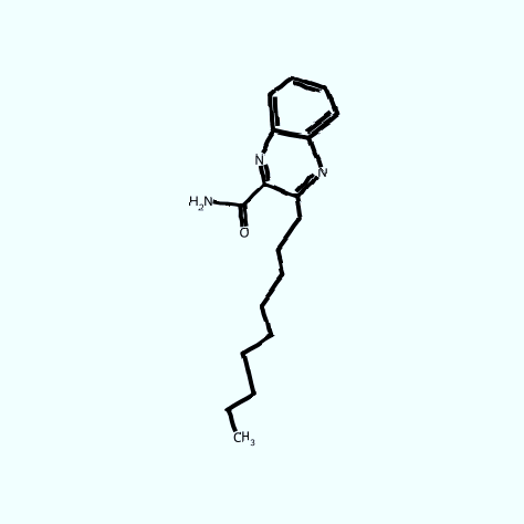 CCCCCCCCCc1nc2ccccc2nc1C(N)=O